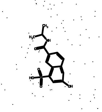 CC(C)NC(=O)c1ccc2cc(O)cc(S(=O)(=O)O)c2c1